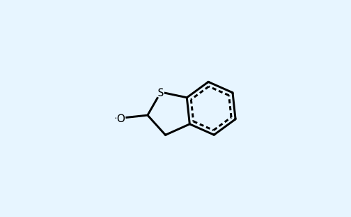 [O]C1Cc2ccccc2S1